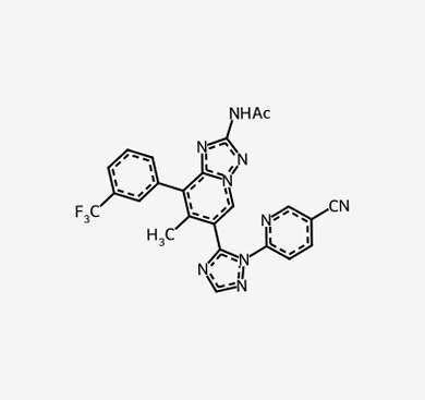 CC(=O)Nc1nc2c(-c3cccc(C(F)(F)F)c3)c(C)c(-c3ncnn3-c3ccc(C#N)cn3)cn2n1